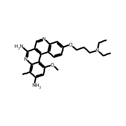 CCN(CC)CCCOc1ccc2c(c1)ncc1c(N)nc3c(C)c(N)cc(OC)c3c12